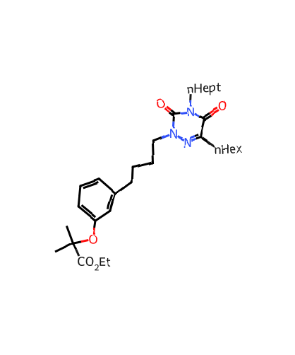 CCCCCCCn1c(=O)c(CCCCCC)nn(CCCCc2cccc(OC(C)(C)C(=O)OCC)c2)c1=O